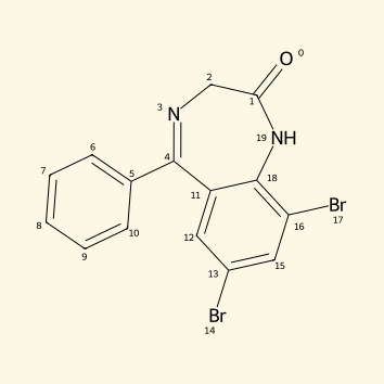 O=C1CN=C(c2ccccc2)c2cc(Br)cc(Br)c2N1